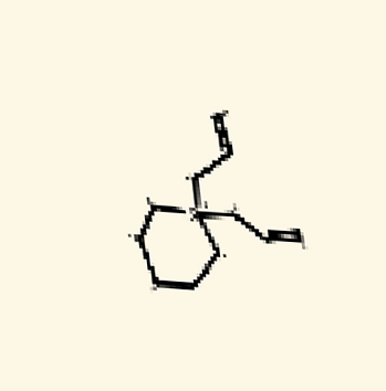 C=CC[Si]1(CC=C)CCCCC1